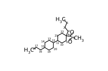 CCCCC1(S(C)(=O)=O)CCC(C2CCC(CCC)CC2)CC1